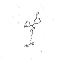 O=Cc1cccc(C(=NOCCCCC(=O)O)c2cccnc2)c1